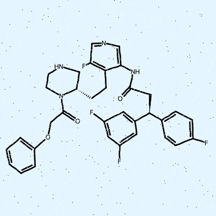 O=C(C[C@@H](c1ccc(F)cc1)c1cc(F)cc(F)c1)Nc1cncc(F)c1CC[C@H]1CNCCN1C(=O)COc1ccccc1